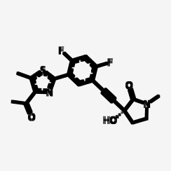 CC(=O)c1nc(-c2cc(C#C[C@]3(O)CCN(C)C3=O)c(F)cc2F)sc1C